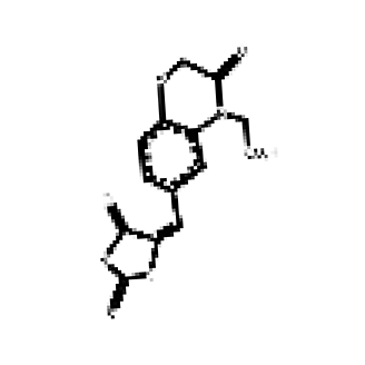 O=C(O)CN1C(=O)COc2ccc(C=C3SC(=S)NC3=O)cc21